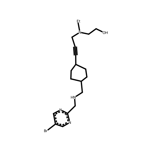 CCN(CC#CC1CCC(CNCc2ncc(Br)cn2)CC1)CCO